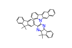 CC1(C)c2ccccc2-c2ccc(-c3nc4c(nc3-n3c5ccccc5c5cc6ccccc6cc53)-c3ccccc3C4(C)C)cc21